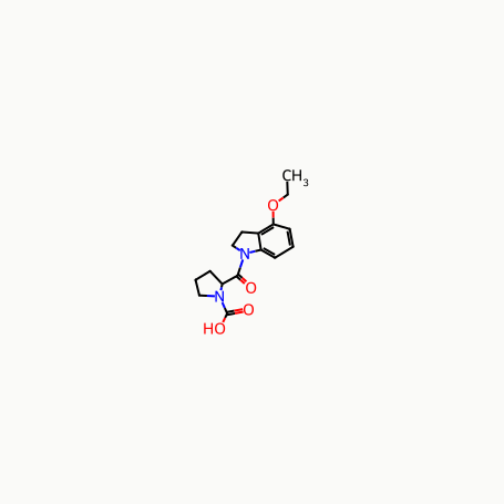 CCOc1cccc2c1CCN2C(=O)C1CCCN1C(=O)O